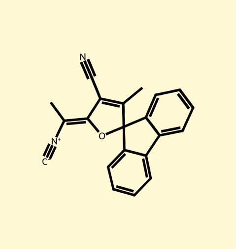 [C-]#[N+]/C(C)=C1\OC2(C(C)=C1C#N)c1ccccc1-c1ccccc12